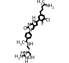 C[C@H](N)CCCc1cc(Cl)c(F)c(-c2cc3cn(-c4ccc([C@H](C)NCC[C@H](CO)NC(=N)N)cc4)c(=O)nc3[nH]2)c1